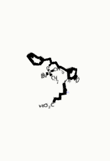 CC(C)(C)[Si](C)(C)OC(CCC1=CCC(=O)[C@@H]1C/C=C\CCCC(=O)O)Cc1ccccc1